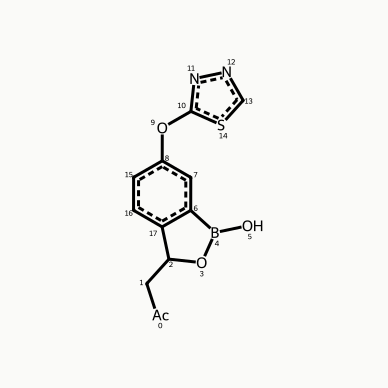 CC(=O)CC1OB(O)c2cc(Oc3nncs3)ccc21